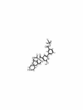 COc1cc(C(=O)[N+]2(C(C)C)N=CC3=C2C(=O)CC2(CCNCC2)C3)cc(-c2cccc(C(=O)OC(C)(C)C)c2)n1